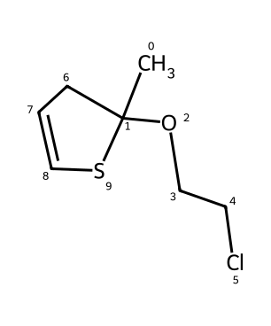 CC1(OCCCl)CC=CS1